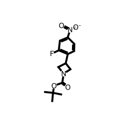 CC(C)(C)OC(=O)N1CC(c2ccc([N+](=O)[O-])cc2F)C1